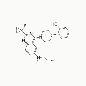 CCCN(C)c1ccc2nc(C3(F)CC3)nc(N3CCC(c4ccccc4O)CC3)c2c1